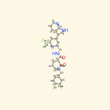 O=C(NCc1cc(-c2c[nH]c3ncccc23)cc(C(F)F)n1)c1cccn(Cc2ccc(F)c(F)c2)c1=O